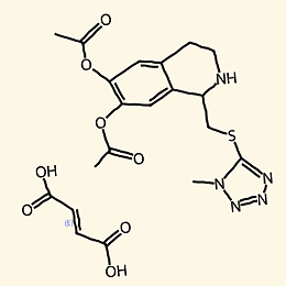 CC(=O)Oc1cc2c(cc1OC(C)=O)C(CSc1nnnn1C)NCC2.O=C(O)/C=C/C(=O)O